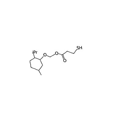 CC1CCC(C(C)C)C(OCOC(=O)CCS)C1